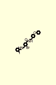 O=C(NCCc1ccc(Oc2ccccc2)cc1)c1ccc(CNCc2ccccc2I)c(Br)c1